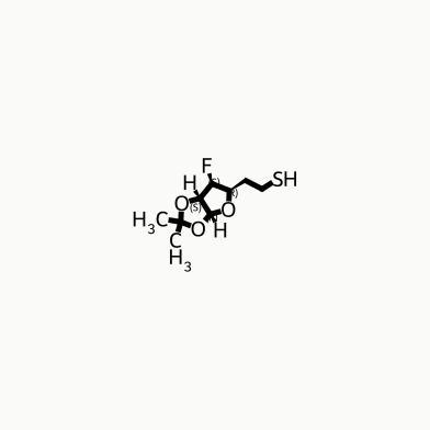 CC1(C)O[C@H]2O[C@H](CCS)[C@H](F)[C@H]2O1